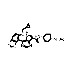 CC(=O)N[C@H]1CC[C@H](NC(=O)c2c[nH]c3c(-c4c(OCC5CC5)ccc5c4OCO5)ncnc23)CC1